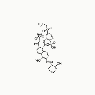 CCS(=O)(=O)c1ccc(S(=O)(=O)O)c(/N=N/c2c(NCS(=O)(=O)O)ccc3c(O)c(/N=N/c4ccccc4O)ccc23)c1